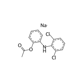 CC(=O)Oc1ccccc1Nc1c(Cl)cccc1Cl.[Na]